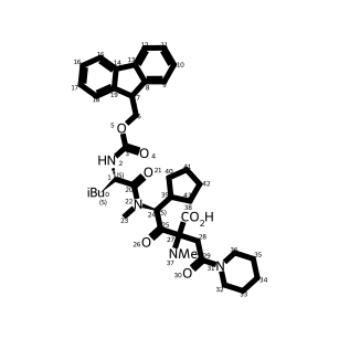 CC[C@H](C)[C@H](NC(=O)OCC1c2ccccc2-c2ccccc21)C(=O)N(C)[C@H](C(=O)C(CC(=O)N1CCCCC1)(NC)C(=O)O)C1CCCC1